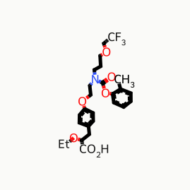 CCOC(Cc1ccc(OCCN(CCCOCC(F)(F)F)C(=O)Oc2ccccc2C)cc1)C(=O)O